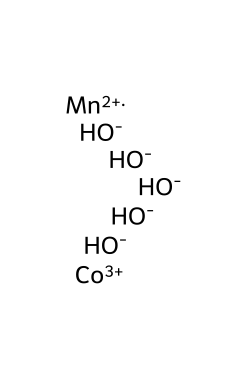 [Co+3].[Mn+2].[OH-].[OH-].[OH-].[OH-].[OH-]